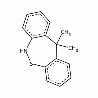 CC1(C)c2ccccc2NSc2ccccc21